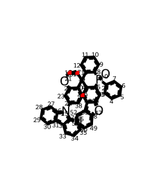 O=P1(c2ccccc2)c2ccccc2C2(c3ccccc3Oc3cc(-n4c5ccccc5c5cccnc54)ccc32)c2cc3c(cc21)oc1ccccc13